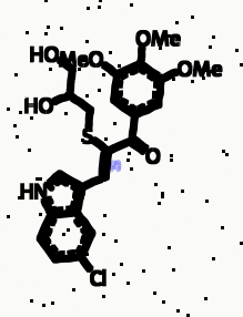 COc1cc(C(=O)/C(=C/c2c[nH]c3ccc(Cl)cc23)SCC(O)CO)cc(OC)c1OC